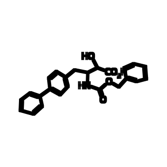 O=C(NC(Cc1ccc(-c2ccccc2)cc1)C(O)C(=O)O)OCc1ccccc1